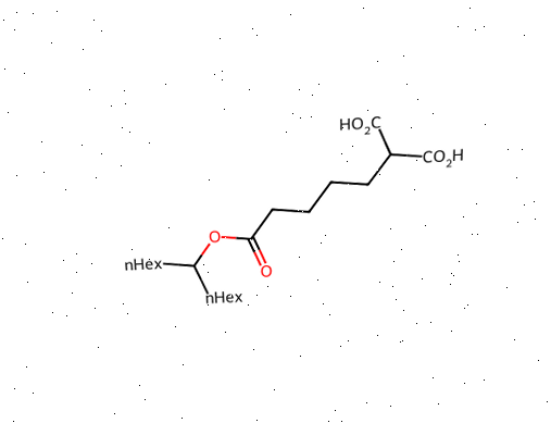 CCCCCCC(CCCCCC)OC(=O)CCCCC(C(=O)O)C(=O)O